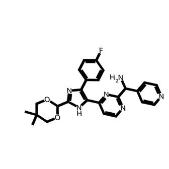 CC1(C)COC(c2nc(-c3ccc(F)cc3)c(-c3ccnc(C(N)c4ccncc4)n3)[nH]2)OC1